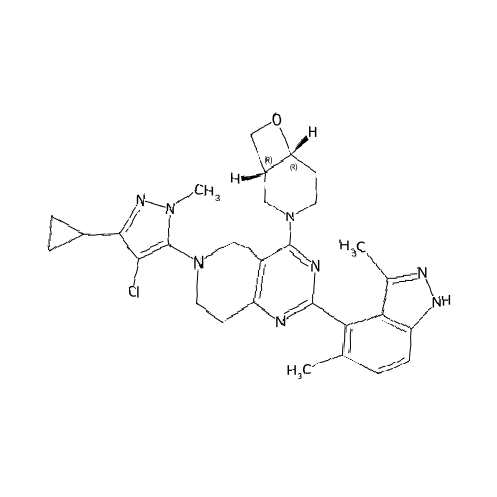 Cc1ccc2[nH]nc(C)c2c1-c1nc2c(c(N3CC[C@H]4OC[C@H]4C3)n1)CN(c1c(Cl)c(C3CC3)nn1C)CC2